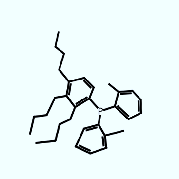 CCCCc1ccc(P(c2ccccc2C)c2ccccc2C)c(CCCC)c1CCCC